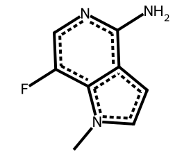 Cn1ccc2c(N)ncc(F)c21